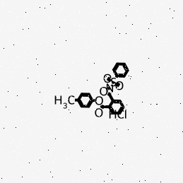 Cc1ccc(OC(=O)c2ccccc2C2ON2S(=O)(=O)c2ccccc2)cc1.Cl